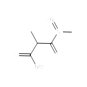 CNC(=O)C(C)C(=O)[N+](C)=N